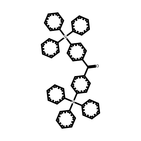 O=C(c1ccc([Si](c2ccccc2)(c2ccccc2)c2ccccc2)cc1)c1ccc([Si](c2ccccc2)(c2ccccc2)c2ccccc2)cc1